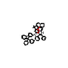 CC1(C)c2cc(N(c3ccc4c(c3)C(c3ccccc3)(c3ccccc3)c3ccccc3-4)c3ccccc3-c3nc4ccccc4nc3-c3ccccc3)ccc2-c2c1ccc1ccccc21